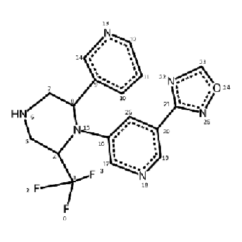 FC(F)(F)C1CNCC(c2cccnc2)N1c1cncc(-c2ncon2)c1